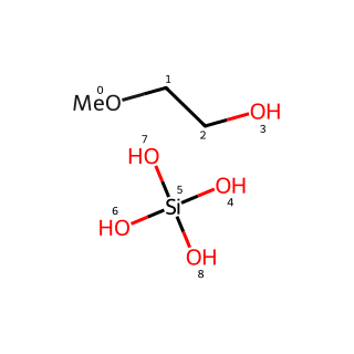 COCCO.O[Si](O)(O)O